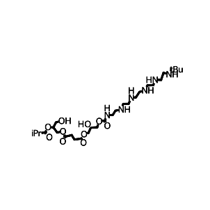 CC(C)C(=O)OC(CO)COC(=O)CCC(=O)OCC(O)COC(=O)NCCNCCNCCNCCNCCNC(C)(C)C